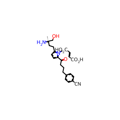 Cn1c(CC[C@@](C)(N)CO)ccc1C(=O)CCCc1ccc(C#N)cc1.O=C(O)C=CC(=O)O